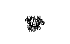 COC1CC(N)OC1CNC(=O)C(N=[N+]=[N-])OC1CC(C)OC1COP(=O)(O)O